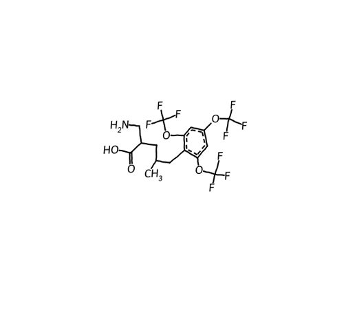 CC(Cc1c(OC(F)(F)F)cc(OC(F)(F)F)cc1OC(F)(F)F)CC(CN)C(=O)O